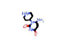 NC1=CC(=O)[N]C(=O)N1C1CCNCC1